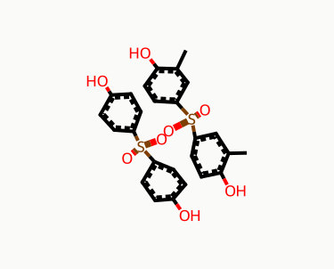 Cc1cc(S(=O)(=O)c2ccc(O)c(C)c2)ccc1O.O=S(=O)(c1ccc(O)cc1)c1ccc(O)cc1